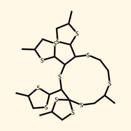 CC1CSC2(SCC(C)S2)C(C2SCC(C)S2)SC(C2SCC(C)S2)C(C2SCC(C)S2)SCCS1